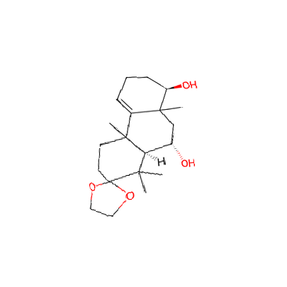 CC12C[C@H](O)[C@@H]3C(C)(CCC4(OCCO4)C3(C)C)C1=CCC[C@H]2O